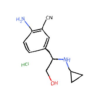 Cl.N#Cc1cc(C(CO)NC2CC2)ccc1N